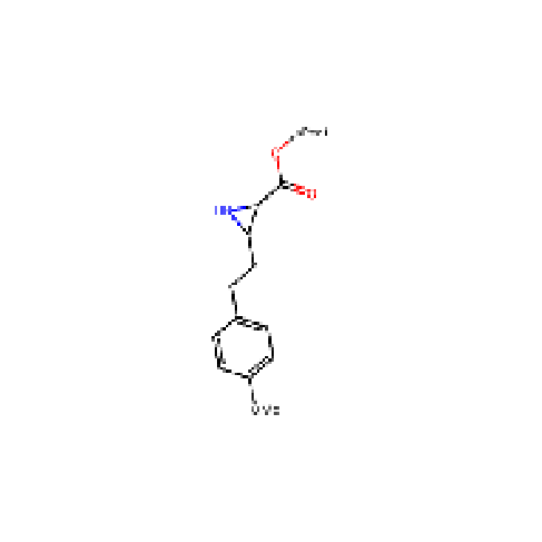 CCCCCOC(=O)C1NC1CCc1ccc(OC)cc1